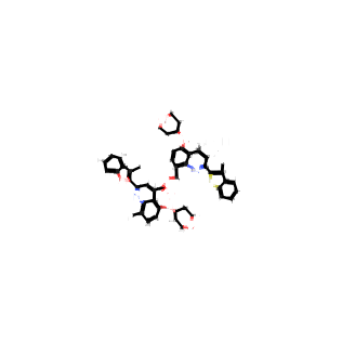 Cc1c(-c2cc(C(=O)OCc3ccc(OC4CCOCC4)c4c(C(=O)O)cc(-c5sc6ccccc6c5C)nc34)c3c(OC4CCOCC4)ccc(C)c3n2)oc2ccccc12